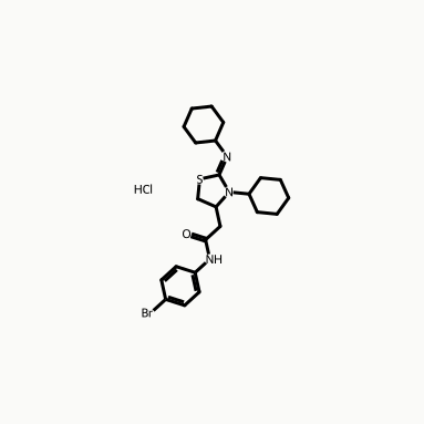 Cl.O=C(CC1CSC(=NC2CCCCC2)N1C1CCCCC1)Nc1ccc(Br)cc1